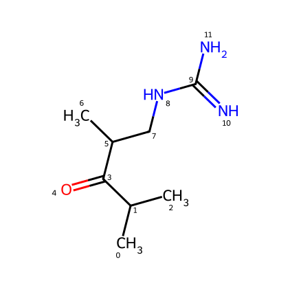 CC(C)C(=O)C(C)CNC(=N)N